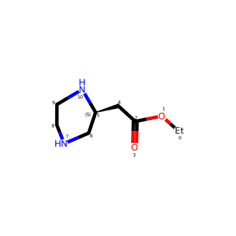 CCOC(=O)C[C@H]1CNCCN1